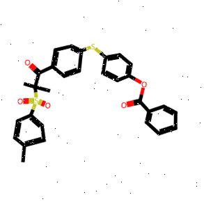 Cc1ccc(S(=O)(=O)C(C)(C)C(=O)c2ccc(Sc3ccc(OC(=O)c4ccccc4)cc3)cc2)cc1